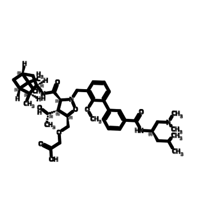 COc1c(CN2O[C@@H](COCC(=O)O)[C@H]([C@H](C)O)[C@H]2C(=O)N[C@@H]2C[C@H]3C[C@@H]([C@@H]2C)C3(C)C)cccc1-c1cccc(C(=O)N[C@H](CC(C)C)CN(C)C)c1